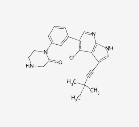 CC(C)(C)C#Cc1c[nH]c2ncc(-c3cccc(N4CCNCC4=O)c3)c(Cl)c12